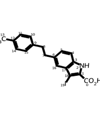 O=C(O)c1[nH]c2ccc(CCc3ccc(C(F)(F)F)cc3)cc2c1I